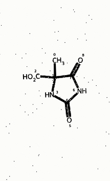 CC1(C(=O)O)NC(=O)NC1=O